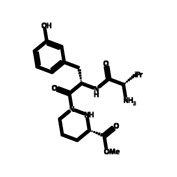 COC(=O)[C@@H]1CCCN(C(=O)[C@H](Cc2cccc(O)c2)NC(=O)[C@@H](N)C(C)C)N1